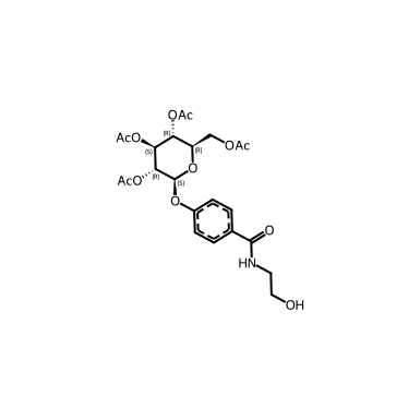 CC(=O)OC[C@H]1O[C@@H](Oc2ccc(C(=O)NCCO)cc2)[C@H](OC(C)=O)[C@@H](OC(C)=O)[C@@H]1OC(C)=O